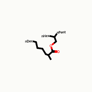 CCCCCCCCCCCCCCC(C)C(=O)OCC(CCCCC)CCCCCC